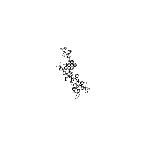 CC(C)(C)OC(=O)O[C@H]1[C@H](F)[C@H](n2ccc(N(C(=O)OC(C)(C)C)C(=O)OC(C)(C)C)nc2=O)S[C@@H]1COP(=O)(O)OCCSC(=O)C(C)(C)C